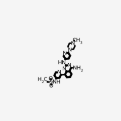 C=CS(=O)(=O)Nc1ccnc(-c2cccc3c(N)nc(Nc4ccc(N5CCN(C)CC5)nc4)nc23)c1